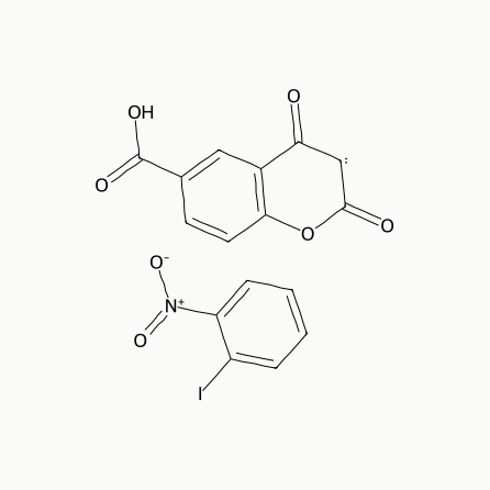 O=C1[C]C(=O)c2cc(C(=O)O)ccc2O1.O=[N+]([O-])c1ccccc1I